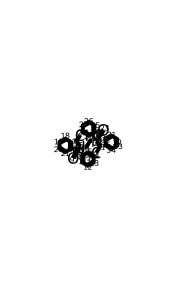 CCN(CCN(CC)P(=O)(c1ccccc1)c1ccccc1)P(=O)(c1ccccc1)c1ccccc1